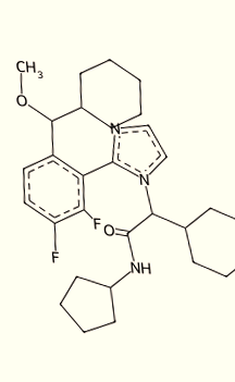 COC(c1ccc(F)c(F)c1-c1nccn1C(C(=O)NC1CCCC1)C1CCCCC1)C1CCCCC1